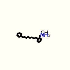 CNCc1ccccc1CCCCCCCCc1ccccc1